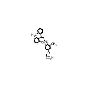 Cc1cc(OCC(=O)O)ccc1SCC=C(c1ccccc1C)c1ccccc1C